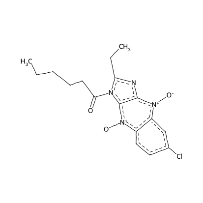 CCCCCC(=O)n1c(CC)nc2c1[n+]([O-])c1ccc(Cl)cc1[n+]2[O-]